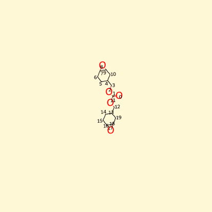 O=C(OCC1CCC2OC2C1)OCC1CCC2OC2C1